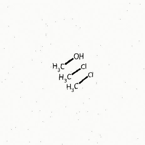 CCl.CCl.CO